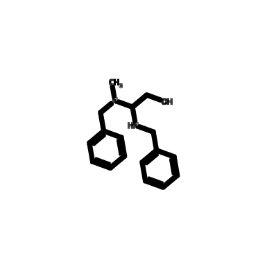 CN(Cc1ccccc1)C(CO)NCc1ccccc1